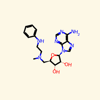 CN(CCNc1ccccc1)C[C@H]1O[C@@H](n2cnc3c(N)ncnc32)[C@H](O)[C@@H]1O